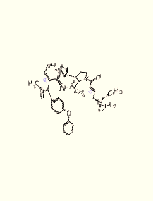 CNN=C(NC1CCN(C(=O)/C=C/CN(C)C)C1)/C(=C\N)C(NC)c1ccc(Oc2ccccc2)cc1